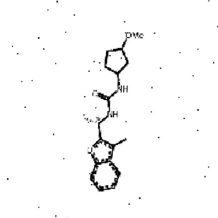 COC1CCC(NC(=O)N[C@@H](C)c2oc3ccccc3c2C)C1